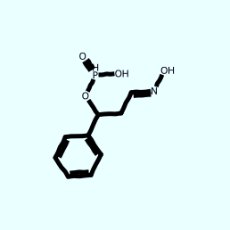 O=[PH](O)OC(CC=NO)c1ccccc1